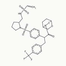 C=CS(=O)(=O)NCC1CCCN1S(=O)(=O)c1ccc(C(Cc2ccc(C(F)(F)F)cc2)C(=O)N2CC3CCC2CO3)cc1